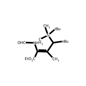 CCCCC(/C(C)=C(\NC=O)C(=O)OCC)[Si](C)(C)C(C)(C)C